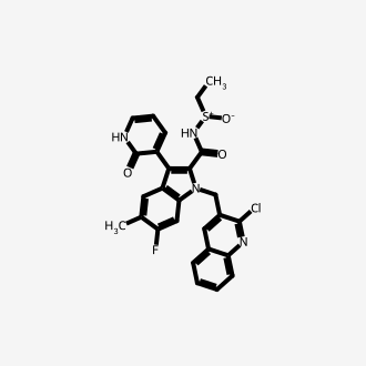 CC[S+]([O-])NC(=O)c1c(-c2ccc[nH]c2=O)c2cc(C)c(F)cc2n1Cc1cc2ccccc2nc1Cl